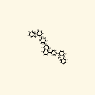 c1cc(-c2cnc(-c3cccc4c3oc3ccccc34)nc2)c2ccc(-c3cnc(-c4cccc5c4oc4ccccc45)nc3)cc2c1